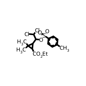 CCOC(=O)C1C(C(OS(=O)(=O)c2ccc(C)cc2)C(Cl)Cl)C1(C)C